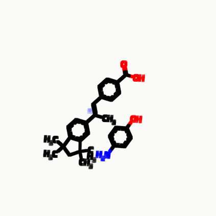 C/C(=C\c1ccc(C(=O)O)cc1)c1ccc2c(c1)C(C)(C)CC2(C)C.Nc1ccc(O)cc1